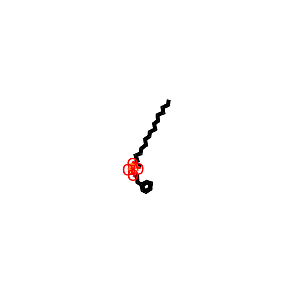 CCCCCCCCCCCCCCCCOP(=O)(OC)OCCc1ccccc1